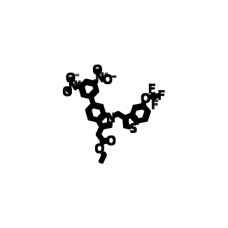 CCOC(=O)Cc1cn(Cc2csc3ccc(OC(F)(F)F)cc23)c2cc(-c3cc([N+](=O)[O-])cc([N+](=O)[O-])c3)ccc12